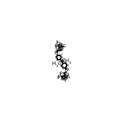 CC(C)(C1CCC(OC2CC(C(F)(F)F)(C(F)(F)F)O2)CC1)C1CCC(OC2CC(C(F)(F)F)(C(F)(F)F)O2)CC1